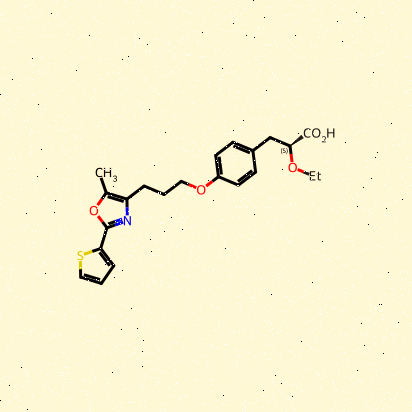 CCO[C@@H](Cc1ccc(OCCCc2nc(-c3cccs3)oc2C)cc1)C(=O)O